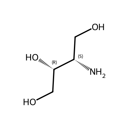 N[C@@H](CO)[C@@H](O)CO